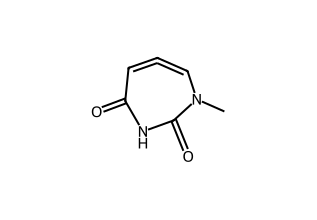 CN1C=C=CC(=O)NC1=O